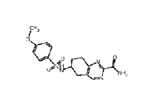 NC(=O)c1ncc2c(n1)CCC(NS(=O)(=O)c1ccc(OC(F)(F)F)cc1)C2